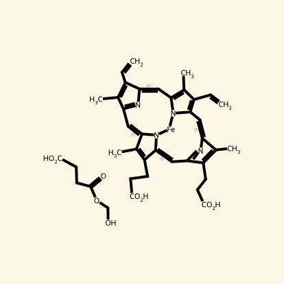 C=CC1=C(C)C2=NC/1=C\c1c(C)c(C=C)c3[n]1[Fe][n]1/c(c(C)c(CCC(=O)O)/c1=C/C1=NC(=C\3)/C(C)=C1CCC(=O)O)=C\2.O=C(O)CCC(=O)OCO